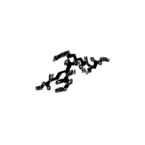 CCCCOC(=O)CN(C)NC(=O)C[C@H](CCN=[N+]=[N-])NC(=O)[C@H](CCNC(=O)OC(C)(C)C)NC(=O)OC(C)(C)C